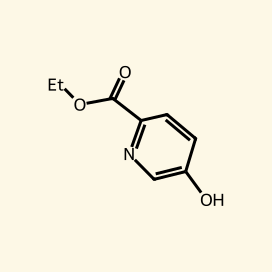 CCOC(=O)c1ccc(O)cn1